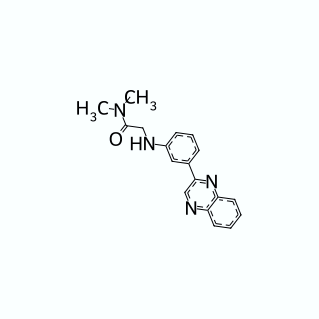 CN(C)C(=O)CNc1cccc(-c2cnc3ccccc3n2)c1